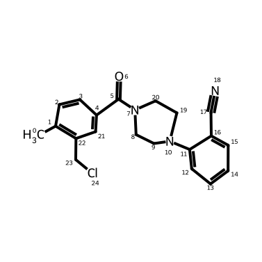 Cc1ccc(C(=O)N2CCN(c3ccccc3C#N)CC2)cc1CCl